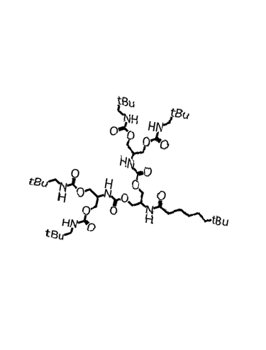 CC(C)(C)CCCCCC(=O)NC(COC(=O)NC(COC(=O)NCC(C)(C)C)COC(=O)NCC(C)(C)C)COC(=O)NC(COC(=O)NCC(C)(C)C)COC(=O)NCC(C)(C)C